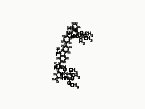 COC(=O)NC(C(=O)N1CC2(CC2)C[C@H]1c1ncc(-c2ccc3c(c2)C(F)(F)c2cc(-c4ccc5nc(C6[C@H]7CCC(C7)N6C(=O)OC(C)(C)C)[nH]c5c4)ccc2-3)[nH]1)C(C)C